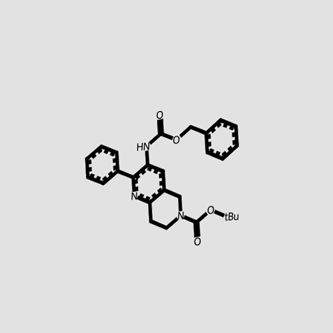 CC(C)(C)OC(=O)N1CCc2nc(-c3ccccc3)c(NC(=O)OCc3ccccc3)cc2C1